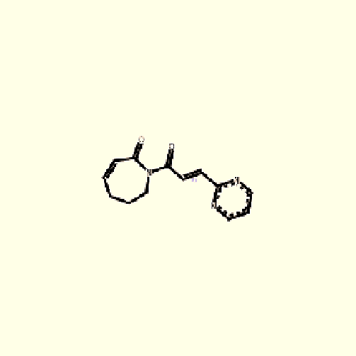 O=C1C=CCCCN1C(=O)/C=C/c1ncccn1